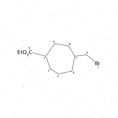 CCOC(=O)C1CCCC(CBr)CC1